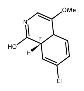 COC1=CN=C(O)[C@H]2C=C(Cl)C=CC12